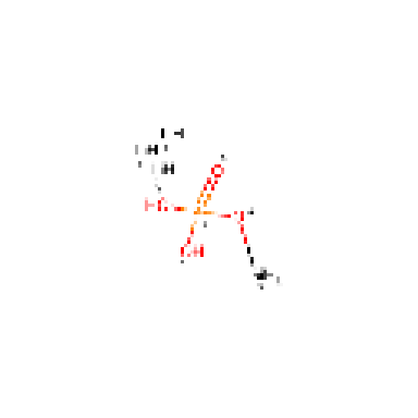 O=P(O)(O)O[SiH3].[LiH].[LiH].[LiH]